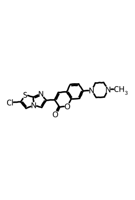 CN1CCN(c2ccc3cc(-c4cn5cc(Cl)sc5n4)c(=O)oc3c2)CC1